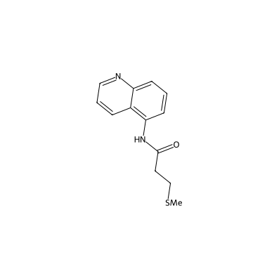 CSCCC(=O)Nc1cccc2ncccc12